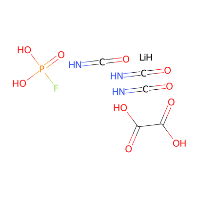 N=C=O.N=C=O.N=C=O.O=C(O)C(=O)O.O=P(O)(O)F.[LiH]